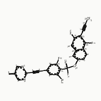 Cc1cnc(C#Cc2cc(F)c(C(F)(F)Oc3ccc4c(F)c(C#CC(F)(F)F)c(F)cc4c3)c(F)c2)nc1